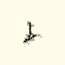 CCCC(=O)NCCN(CCNC(=O)CCC)C(=O)CNC(=O)COCCOCCNC(=O)CBr